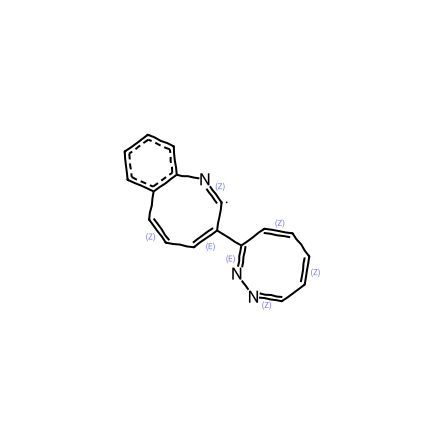 [C]1=N/c2ccccc2\C=C/C=C\1C1=N/N=C\C=C/C=C\1